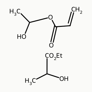 C=CC(=O)OC(C)O.CCOC(=O)C(C)O